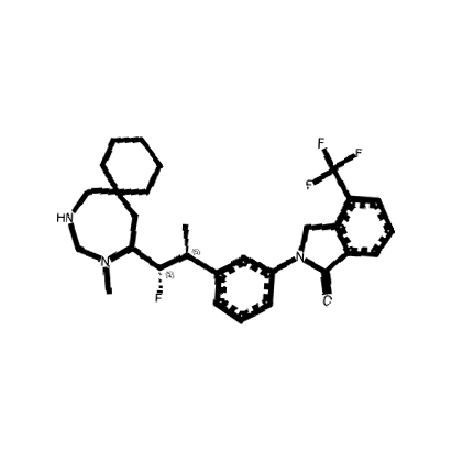 C[C@@H](c1cccc(N2Cc3c(cccc3C(F)(F)F)C2=O)c1)[C@H](F)C1CC2(CCCCC2)CNCN1C